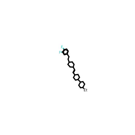 CCC1CCC(C2CCC(C=CC3CCC(CCc4ccc(F)c(F)c4)CC3)CC2)CC1